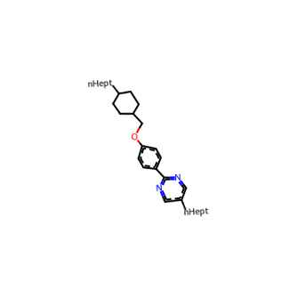 CCCCCCCc1cnc(-c2ccc(OCC3CCC(CCCCCCC)CC3)cc2)nc1